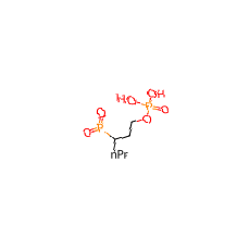 CCCC(CCOP(=O)(O)O)P(=O)=O